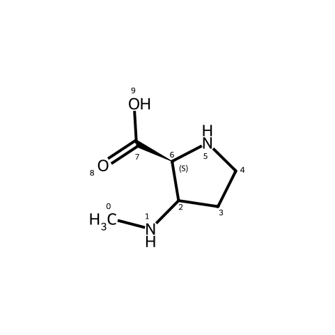 CNC1CCN[C@@H]1C(=O)O